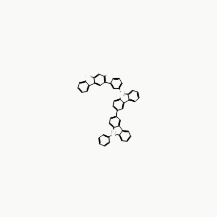 c1ccc(-n2c3ccccc3c3cc(-c4ccc5c(c4)c4ccccc4n5-c4ccc5oc6cc7oc8ccccc8c7cc6c5c4)ccc32)cc1